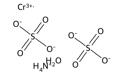 O.O=S(=O)([O-])[O-].O=S(=O)([O-])[O-].[Cr+3].[NH4+]